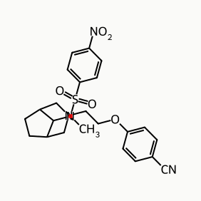 CN(C1C2CCC1CN(CCOc1ccc(C#N)cc1)C2)S(=O)(=O)c1ccc([N+](=O)[O-])cc1